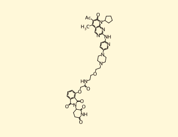 CC(=O)c1c(C)c2cnc(Nc3ccc(N4CCN(CCOCCNC(=O)COc5cccc6c5C(=O)N(C5CCC(=O)NC5=O)C6=O)CC4)cn3)nc2n(C2CCCC2)c1=O